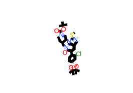 CSc1ncc2cc(-c3ccc(B4OC(C)(C)C(C)(C)O4)cc3Cl)c(=O)n(CC3CCN(C(=O)OC(C)(C)C)CC3)c2n1